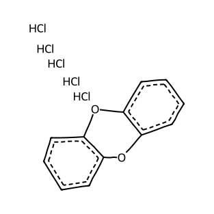 Cl.Cl.Cl.Cl.Cl.c1ccc2c(c1)Oc1ccccc1O2